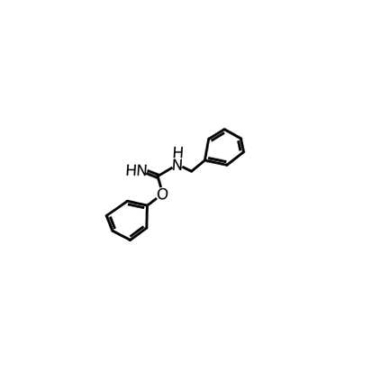 N=C(NCc1ccccc1)Oc1ccccc1